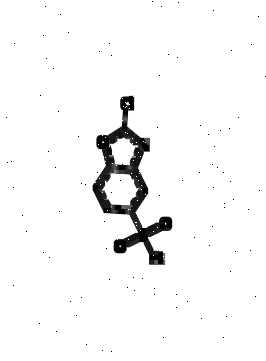 CCS(=O)(=O)c1ccc2oc(Cl)nc2c1